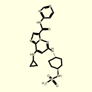 CS(=O)(=O)N[C@H]1CC[C@H](Nc2cc(NC3CC3)c3ncc(C(=O)Nc4ccncn4)n3n2)CC1